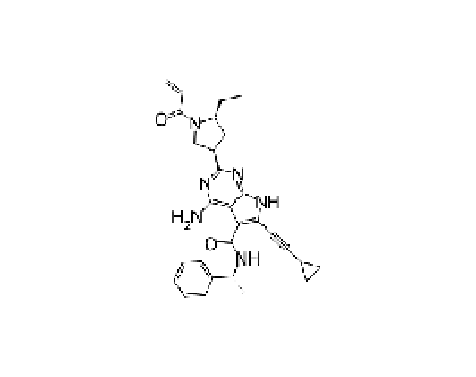 C=CC(=O)N1C[C@H](c2nc(N)c3c(C(=O)N[C@H](C)c4ccccc4)c(C#CC4CC4)[nH]c3n2)C[C@@H]1CC